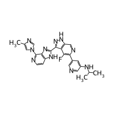 Cc1cn(-c2nccc3[nH]c(-c4n[nH]c5cnc(-c6cncc(NC(C)C)c6)c(F)c45)nc23)cn1